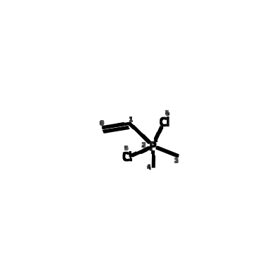 C=CP(C)(C)(Cl)Cl